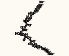 O.O.O.O.O.O.O.O.O.O.O=S(=O)(O)O.[Na+].[Na+].[Na+].[Na+].[Na+].[Na+].[Na+].[Na+].[Na+].[Na+].[Na+].[Na+].[O-]B([O-])[O-].[O-]B([O-])[O-].[O-]B([O-])[O-].[O-]B([O-])[O-]